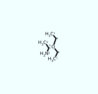 CCN.CCOCC